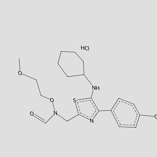 COCCON(C=O)Cc1nc(-c2ccc(OC)cc2)c(NC2CCCCC2)s1.Cl